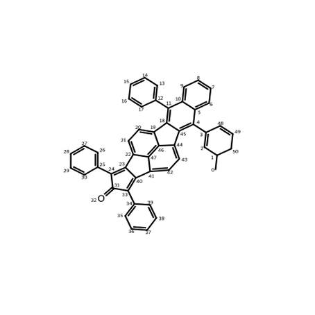 CC1C=C(c2c3ccccc3c(-c3ccccc3)c3c4ccc5c6c(-c7ccccc7)c(=O)c(-c7ccccc7)c-6c6ccc(c23)c4c65)C=CC1